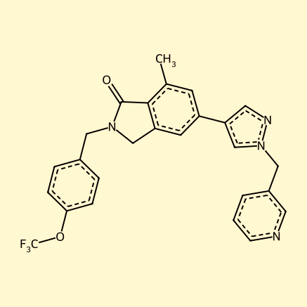 Cc1cc(-c2cnn(Cc3cccnc3)c2)cc2c1C(=O)N(Cc1ccc(OC(F)(F)F)cc1)C2